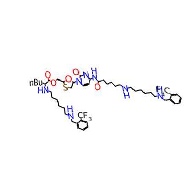 CCCCC(NCCCCCCNCc1ccccc1C(F)(F)F)C(=O)OCC1OC(n2ccc(NC(=O)CCCCCNCCCCCCNCc3ccccc3C(F)(F)F)nc2=O)CS1